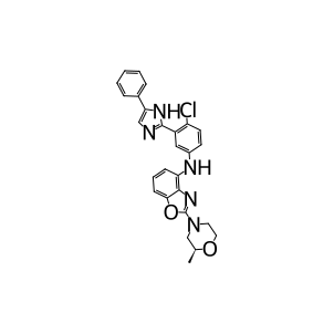 C[C@H]1CN(c2nc3c(Nc4ccc(Cl)c(-c5ncc(-c6ccccc6)[nH]5)c4)cccc3o2)CCO1